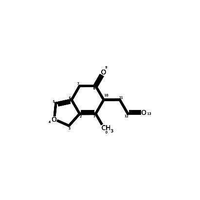 CC1=C2COC=C2CC(=O)C1CC=O